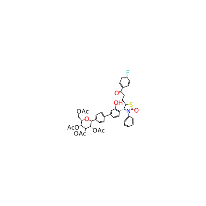 CC(=O)OC[C@H]1OC(c2ccc(-c3ccc([C@@H]4[C@@H](CCC(=O)c5ccc(F)cc5)SC(=O)N4c4ccccc4)c(O)c3)cc2)[C@H](OC(C)=O)[C@@H](OC(C)=O)[C@@H]1OC(C)=O